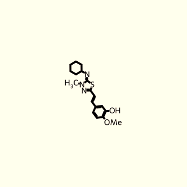 COc1ccc(/C=C/c2nn(C)/c(=N\C3CCCCC3)s2)cc1O